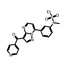 CCS(=O)(=O)N(C)c1cccc(-c2ccnc3c(C(=O)c4ccncc4)cnn23)c1